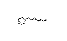 C=CC=COCCN1CCOCC1